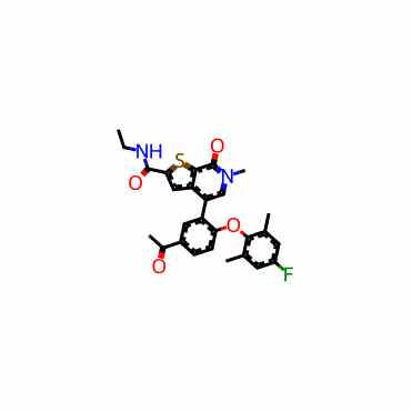 CCNC(=O)c1cc2c(-c3cc(C(C)=O)ccc3Oc3c(C)cc(F)cc3C)cn(C)c(=O)c2s1